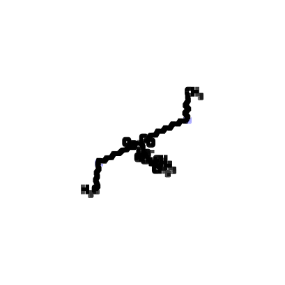 CCCCCC/C=C\CCCCCCCCCC(=O)O[C@H](COC(=O)CCCCCCC/C=C\CCCCCC)COP(=O)([O-])OCC[N+](C)(C)C